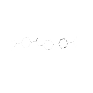 CC(C)c1cnc(C2CCN(CC(=O)N3CCC(C(C)C)CC3)CC2)cn1